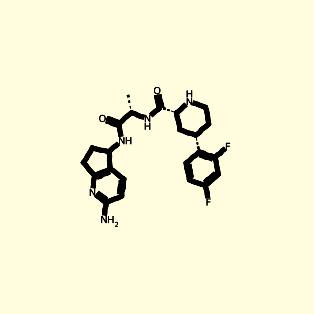 C[C@H](NC(=O)[C@H]1C[C@@H](c2ccc(F)cc2F)CCN1)C(=O)NC1CCc2nc(N)ccc21